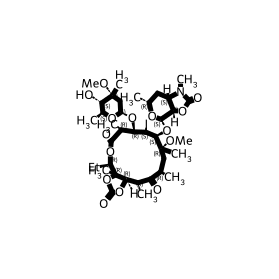 CC[C@H]1OC(=O)[C@H](C)[C@@H](O[C@H]2C[C@@](C)(OC)[C@@H](O)[C@H](C)O2)[C@H](I)[C@@H](O[C@@H]2O[C@H](C)C[C@H]3[C@H]2OC(=O)N3C)[C@](C)(OC)C[C@@H](C)C(=O)[C@H](C)[C@H]2OC(=O)O[C@@]21C